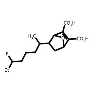 CCC(F)CCCC(C)C1CC2OC1C(C(=O)O)=C2C(=O)O